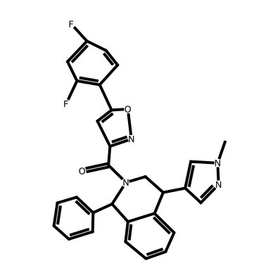 Cn1cc(C2CN(C(=O)c3cc(-c4ccc(F)cc4F)on3)C(c3ccccc3)c3ccccc32)cn1